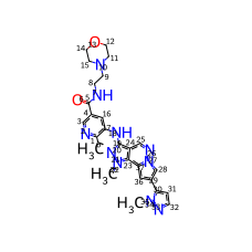 Cc1ncc(C(=O)NCCN2CCOCC2)cc1Nc1nn(C)c2c1cnn1cc(-c3ccnn3C)cc21